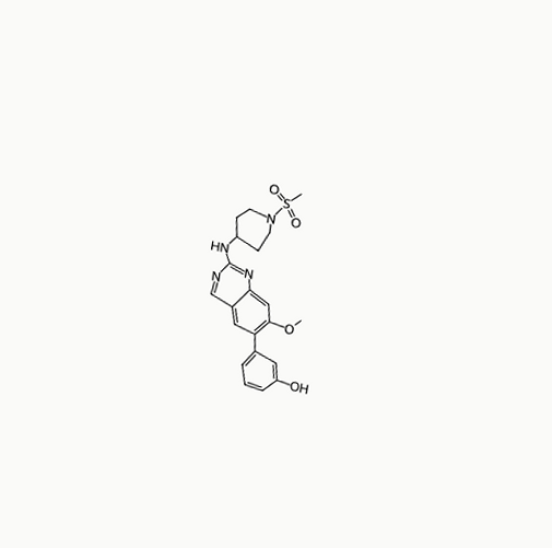 COc1cc2nc(NC3CCN(S(C)(=O)=O)CC3)ncc2cc1-c1cccc(O)c1